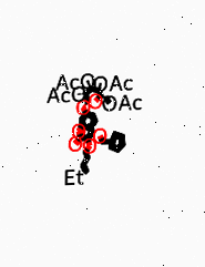 CC/C=C/CCOc1c(OCc2ccccc2)c2ccc(O[C@@H]3O[C@H](COC(C)=O)[C@H](OC(C)=O)[C@H](OC(C)=O)[C@H]3OC(C)=O)cc2oc1=O